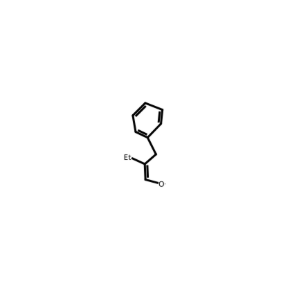 CC/C(=C/[O])Cc1ccccc1